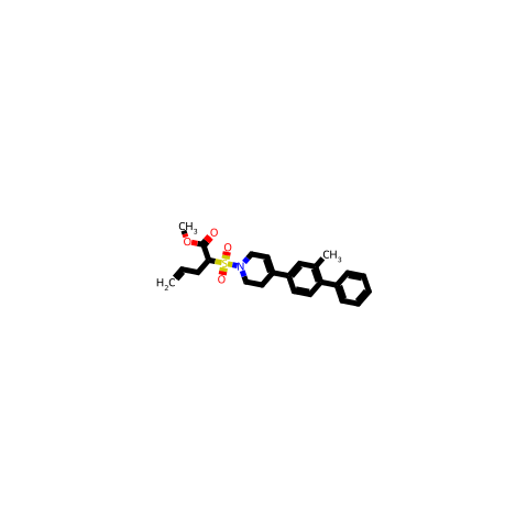 C=CCC(C(=O)OC)S(=O)(=O)N1CC=C(c2ccc(-c3ccccc3)c(C)c2)CC1